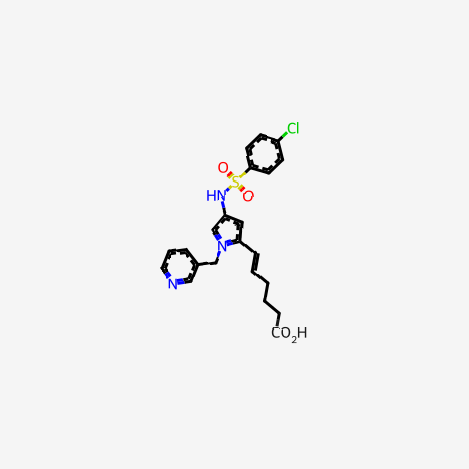 O=C(O)CCCC=Cc1cc(NS(=O)(=O)c2ccc(Cl)cc2)cn1Cc1cccnc1